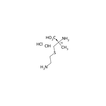 C[C@@](N)(CSCCN)C(=O)O.Cl.Cl